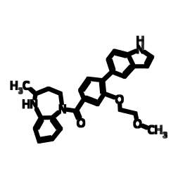 COCCOc1cc(C(=O)N2CCC(C)Nc3ccccc32)ccc1-c1ccc2[nH]ccc2c1